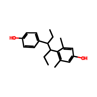 CCC(c1ccc(O)cc1)C(CC)c1c(C)cc(O)cc1C